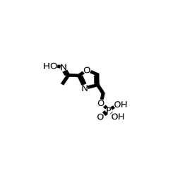 C/C(=N\O)c1nc(COP(=O)(O)O)co1